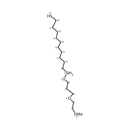 COCCOCCCO[SiH2]CCCCCCCCCCS